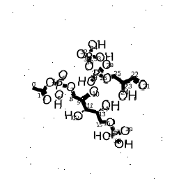 CC(=O)OP(=O)(O)OCC(=O)[C@@H](O)[C@H](O)COP(=O)(O)O.O=CC(O)COP(=O)(O)OP(=O)(O)O